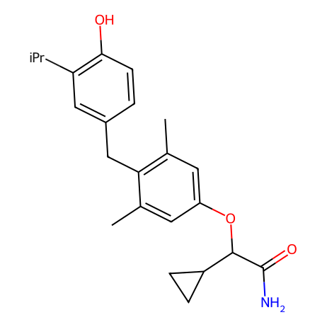 Cc1cc(OC(C(N)=O)C2CC2)cc(C)c1Cc1ccc(O)c(C(C)C)c1